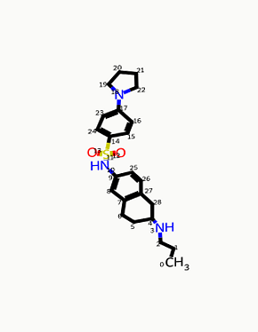 CCCNC1CCc2cc(NS(=O)(=O)c3ccc(N4CCCC4)cc3)ccc2C1